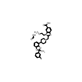 COCCn1c(CN2CCC(c3cccc4c3OC(C)(c3cccc(F)c3)O4)CC2)nc2ccc(C(=O)O)cc21.O=CO